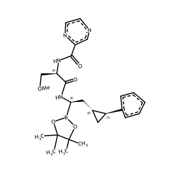 COC[C@@H](NC(=O)c1cnccn1)C(=O)N[C@@H](C[C@H]1C[C@@H]1c1ccccc1)B1OC(C)(C)C(C)(C)O1